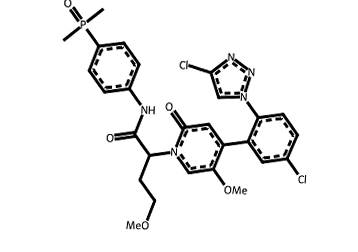 COCCC(C(=O)Nc1ccc(P(C)(C)=O)cc1)n1cc(OC)c(-c2cc(Cl)ccc2-n2cc(Cl)nn2)cc1=O